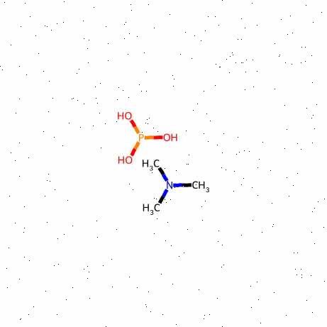 CN(C)C.OP(O)O